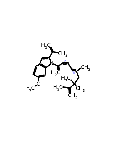 C=C(C)c1cc2ccc(OC(F)(F)F)cc2n1C(=C)/C=C\C=C(/C)CC(C)(C)C(=C)C